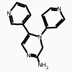 NC1=NC=C(c2cccnc2)N(c2ccncc2)C1